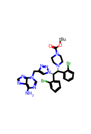 CC(C)(C)OC(=O)N1CCN([C@H](c2ccccc2Br)[C@H](c2ccccc2Br)n2cc(Cn3cnc(N)c4ncnc3-4)nn2)CC1